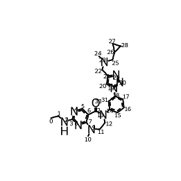 CCNc1ncc2c(n1)N(C)CCN(c1cccc(-n3cc(CN(C)CC4CC4)nn3)c1)C2=O